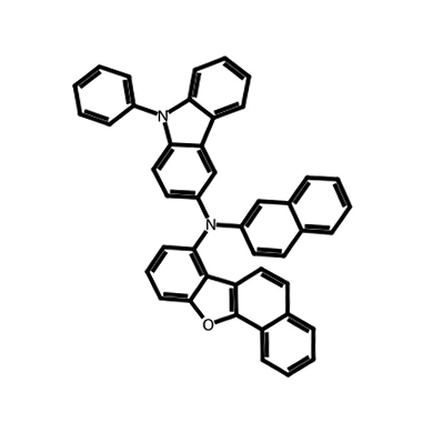 c1ccc(-n2c3ccccc3c3cc(N(c4ccc5ccccc5c4)c4cccc5oc6c7ccccc7ccc6c45)ccc32)cc1